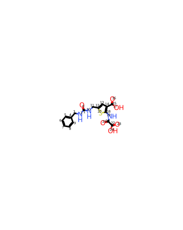 O=C(NCc1ccccc1)NCc1cc(C(=O)O)c(NC(=O)C(=O)O)s1